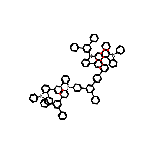 C1=CC(N(c2ccc(-c3cc(-c4ccccc4)cc(-c4ccccc4)c3)cc2)c2ccccc2-c2cccc(-c3cccc4c3c3ccccc3n4-c3ccccc3)c2)CC=C1c1cc(-c2ccccc2)cc(-c2ccc(-c3cccc(-c4cc(-c5ccccc5)cc(N(c5cc(-c6ccccc6)cc(-c6ccccc6)c5)c5ccccc5-c5cccc(-c6cccc7c6c6ccccc6n7-c6ccccc6)c5)c4)c3)cc2)c1